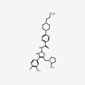 CC1CCCN1CC1=C(c2ccc(F)c(C(F)(F)F)c2)NC(NC(=O)c2cnc(N3CCN(CCC(=O)O)CC3)cn2)S1